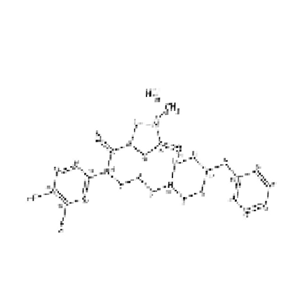 CN1CC(C(=O)N(CCCN2CCC(Cc3ccccc3)CC2)c2ccc(F)c(F)c2)CC1=O.Cl